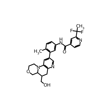 Cc1ccc(NC(=O)c2ccnc(C(C)(F)F)c2)cc1-c1cnc2c(c1)N1CCOCC1C(CO)C2